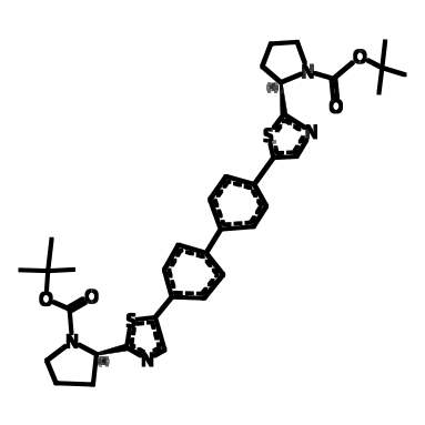 CC(C)(C)OC(=O)N1CCC[C@@H]1c1ncc(-c2ccc(-c3ccc(-c4cnc([C@H]5CCCN5C(=O)OC(C)(C)C)s4)cc3)cc2)s1